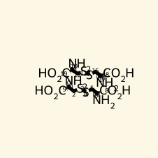 N[C@@H](CSSC[C@H](N)C(=O)O)C(=O)O.N[C@@H](CSSC[C@H](N)C(=O)O)C(=O)O